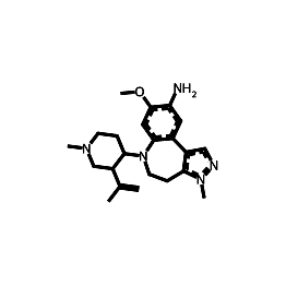 C=C(C)C1CN(C)CCC1N1CCc2c(cnn2C)-c2cc(N)c(OC)cc21